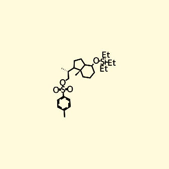 CC[Si](CC)(CC)O[C@H]1CCC[C@@]2(C)C1CCC2[C@@H](C)COS(=O)(=O)c1ccc(C)cc1